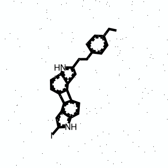 CCc1ccc(CCc2cc3c4c(ccc3[nH]2)-c2c-4ccc3[nH]c(I)cc23)cc1